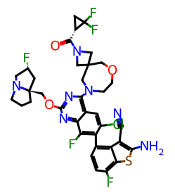 N#Cc1c(N)sc2c(F)ccc(-c3c(Cl)cc4c(N5CCOCC6(CN(C(=O)[C@@H]7CC7(F)F)C6)C5)nc(OC[C@@]56CCCN5C[C@H](F)C6)nc4c3F)c12